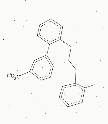 Cc1ccccc1CCCc1ccccc1-c1cccc(C(=O)O)c1